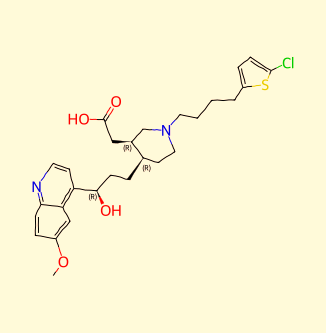 COc1ccc2nccc([C@H](O)CC[C@@H]3CCN(CCCCc4ccc(Cl)s4)C[C@@H]3CC(=O)O)c2c1